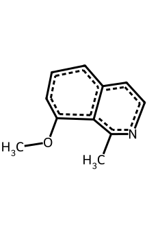 COc1cccc2ccnc(C)c12